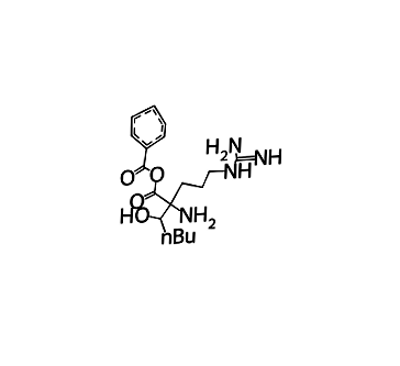 CCCCC(O)C(N)(CCCNC(=N)N)C(=O)OC(=O)c1ccccc1